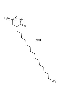 CCCCCCCCCCCCCCCCC(CC(N)=O)C(N)=O.[NaH]